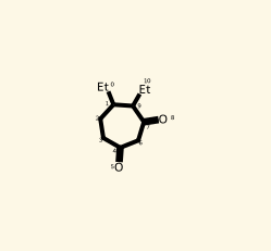 CCC1CCC(=O)CC(=O)C1CC